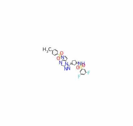 Cc1ccc(S(=O)(=O)n2ccc3c2ncc2nnc([C@@H]4CC[C@H](NS(=O)(=O)c5cc(F)cc(F)c5)C4)n23)cc1